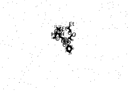 CCC(CC)COC(=O)C(C)NP(=O)(OCC1OC(C)[C@@H]2OC(C)(C)O[C@H]12)Oc1ccccc1